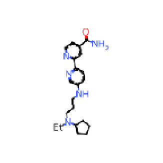 CCN(CCCNc1ccc(-c2cc(C(N)=O)ccn2)nc1)C1CCCC1